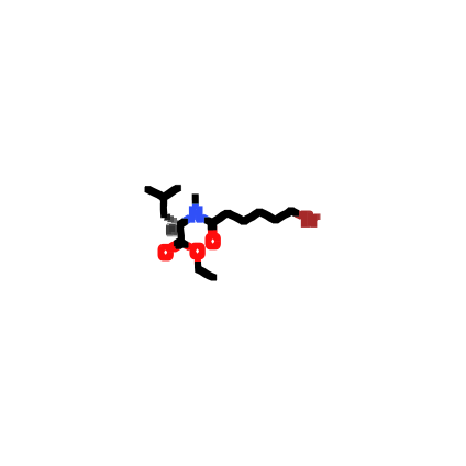 CCOC(=O)[C@H](CC(C)C)N(C)C(=O)CCCCCBr